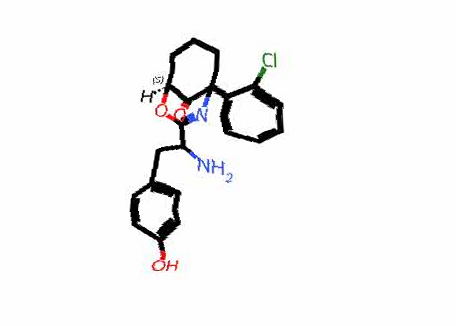 NC(Cc1ccc(O)cc1)C1=NC2(c3ccccc3Cl)CCC[C@H](O1)C2=O